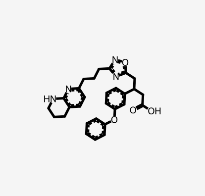 O=C(O)CC(Cc1nc(CCCc2ccc3c(n2)NCCC3)no1)c1cccc(Oc2ccccc2)c1